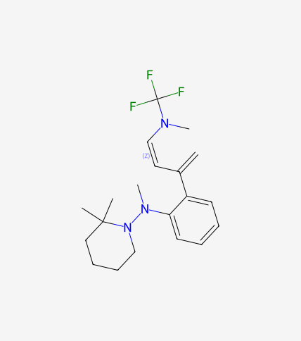 C=C(/C=C\N(C)C(F)(F)F)c1ccccc1N(C)N1CCCCC1(C)C